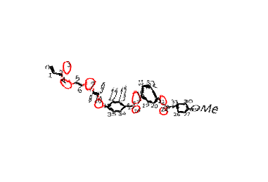 C=CC(=O)OCCOCCOc1ccc(C(=O)Oc2ccc(OC(=O)c3ccc(OC)cc3)cc2)cc1